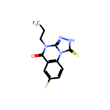 O=c1c2cc(F)ccc2n2c(=S)[nH]nc2n1CCC(F)(F)F